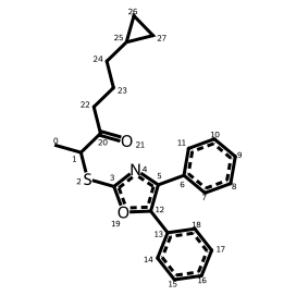 CC(Sc1nc(-c2ccccc2)c(-c2ccccc2)o1)C(=O)CCCC1CC1